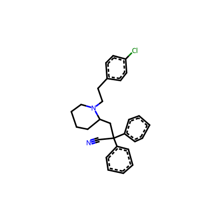 N#CC(CC1CCCCN1CCc1ccc(Cl)cc1)(c1ccccc1)c1ccccc1